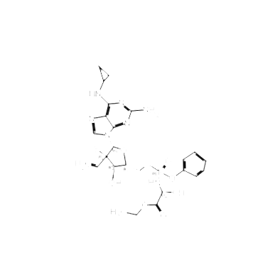 C=C[C@@]1(F)[C@H](O)[C@@H](CO[P@](=O)(N[C@@H](C)C(=O)OCC)Oc2ccccc2)O[C@H]1n1cnc2c(NC3CC3)nc(N)nc21